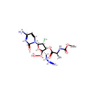 CC(C)[C@H](NC(=O)OC(C)(C)C)C(=O)O[C@H]1[C@@H](F)[C@H](n2ccc(N)nc2=O)O[C@]1(CN=[N+]=[N-])OO